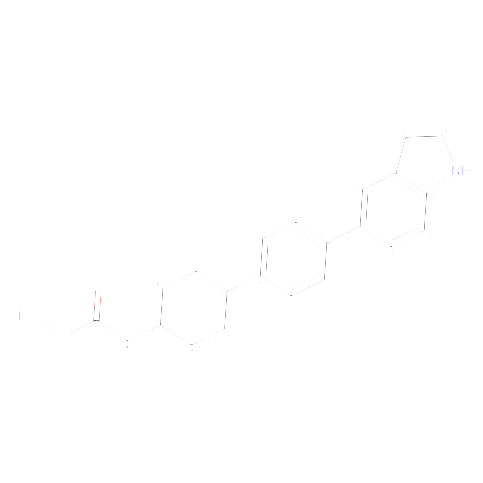 COC(=O)CC1CCC(c2ccc(-c3ccc4c(c3)CCN4)cc2)CC1